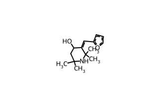 CC1(C)CC(O)/C(=C/c2ccco2)C(C)(C)N1